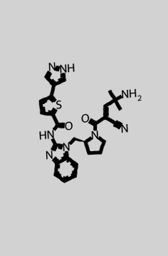 CC(C)(N)C=C(C#N)C(=O)N1CCC[C@H]1Cn1c(NC(=O)c2ccc(-c3cn[nH]c3)s2)nc2ccccc21